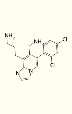 NCCCc1c(CN)c(-c2ccc(Cl)cc2Cl)cn2ccnc12